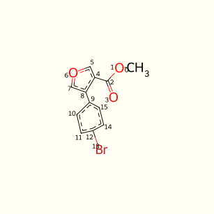 COC(=O)c1cocc1-c1ccc(Br)cc1